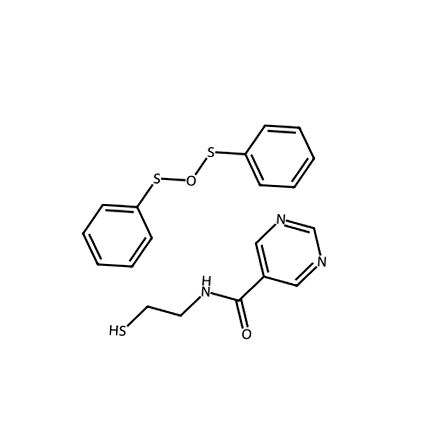 O=C(NCCS)c1cncnc1.c1ccc(SOSc2ccccc2)cc1